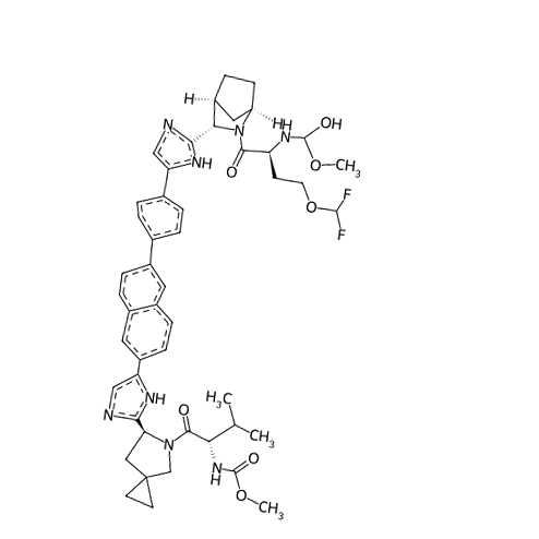 COC(=O)N[C@H](C(=O)N1CC2(CC2)C[C@H]1c1ncc(-c2ccc3cc(-c4ccc(-c5cnc([C@@H]6[C@H]7CC[C@H](C7)N6C(=O)[C@H](CCOC(F)F)NC(O)OC)[nH]5)cc4)ccc3c2)[nH]1)C(C)C